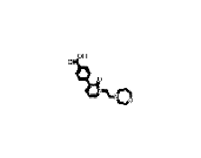 O=C(O)c1ccc(-c2cccn(CCN3CCCOCC3)c2=O)cc1